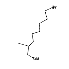 [CH2]C(C)(C)CC(C)CCCCCCC(C)C